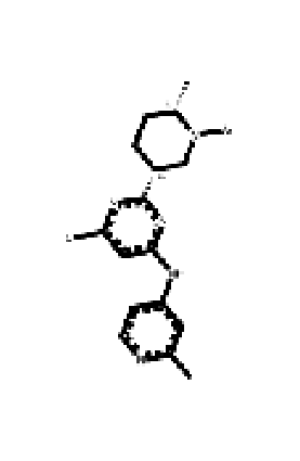 CC(=O)N1C[C@H](c2nc(Cl)cc(Nc3ccnc(C)c3)n2)CC[C@@H]1C